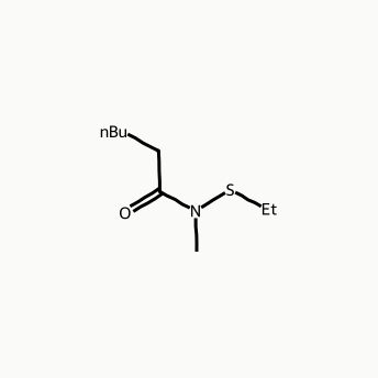 CCCCCC(=O)N(C)SCC